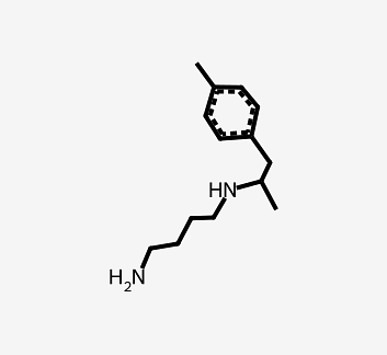 Cc1ccc(CC(C)NCCCCN)cc1